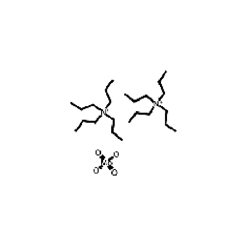 CCC[N+](CCC)(CCC)CCC.CCC[N+](CCC)(CCC)CCC.[O]=[Mo](=[O])([O-])[O-]